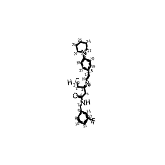 CC/C(CC(=O)NCc1cccc(F)c1)=N\C=C\c1ccc(N2CCCCC2)cc1